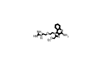 CCOCc1nc2c(N)nc3ccccc3c2n1CCOCCNC(=N)N